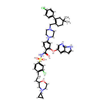 CC1(C)CCC(CN2CCN(c3ccc(C(=O)NS(=O)(=O)c4cc[c]([Au][CH2]C5CN(C6CC6)CCO5)c(Cl)c4)c(Oc4cnc5[nH]ccc5c4)c3)CC2)=C(c2ccc(Cl)cc2)C1